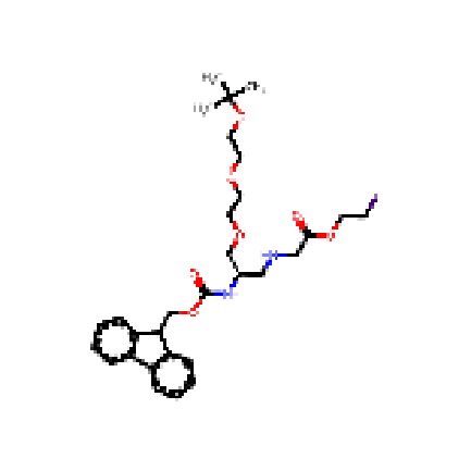 CC(C)(C)OCCOCCOC[C@@H](CNCC(=O)OCCI)NC(=O)OCC1c2ccccc2-c2ccccc21